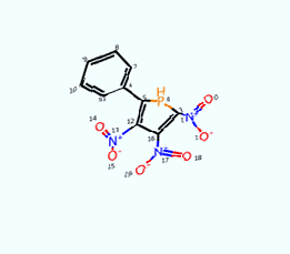 O=[N+]([O-])c1[pH]c(-c2ccccc2)c([N+](=O)[O-])c1[N+](=O)[O-]